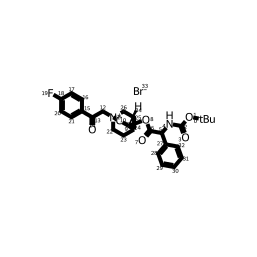 CC(C)(C)OC(=O)NC(C(=O)O[C@H]1C[N+]2(CC(=O)c3ccc(F)cc3)CCC1CC2)c1ccccc1.[Br-]